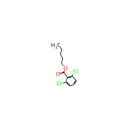 CCCCCOC(=O)c1c(Cl)cccc1Cl